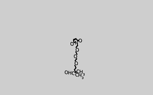 CC(C)(C=O)CCCOCCOCCOCCN1C(=O)C=CC1=O